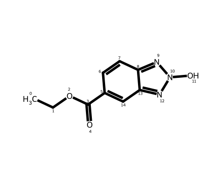 CCOC(=O)c1ccc2nn(O)nc2c1